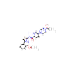 COCc1ccccc1-c1csc(NC(=O)c2ccc(N3CCN(C(C)=O)CC3)cn2)n1